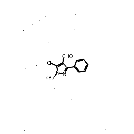 CCCCn1nc(-c2ccccc2)c(C=O)c1Cl